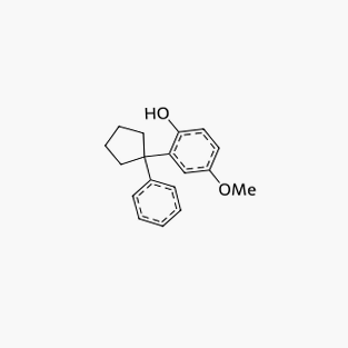 COc1ccc(O)c(C2(c3ccccc3)CCCC2)c1